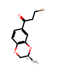 C[C@H]1COc2ccc(C(=O)CCBr)cc2O1